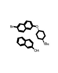 CC(C)(C)[C@H]1CC[C@H](Oc2ccc3cc(Br)ccc3c2)CC1.Oc1ccc2ccccc2c1